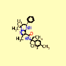 CCC(CC)(NC(=O)c1c(C)nn2c1N[C@@H](c1ccccc1)CC2(C)C)c1ccc(C)cc1